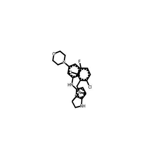 Fc1ccc(Cl)c(CN2c3cc(Nc4cccc(N5CCOCC5)c4)n4c3NCC24)c1Cl